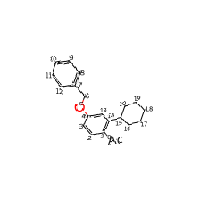 CC(=O)c1ccc(OCc2ccccc2)cc1C1CCCCC1